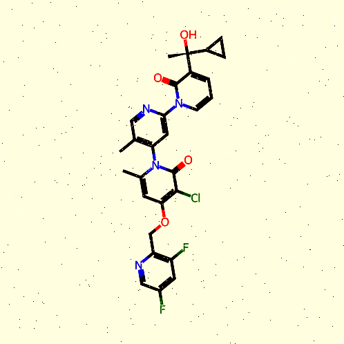 Cc1cnc(-n2cccc([C@](C)(O)C3CC3)c2=O)cc1-n1c(C)cc(OCc2ncc(F)cc2F)c(Cl)c1=O